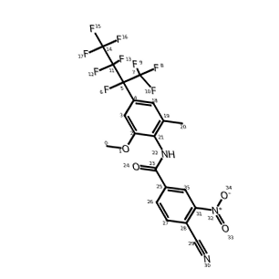 COc1cc(C(F)(C(F)(F)F)C(F)(F)C(F)(F)F)cc(C)c1NC(=O)c1ccc(C#N)c([N+](=O)[O-])c1